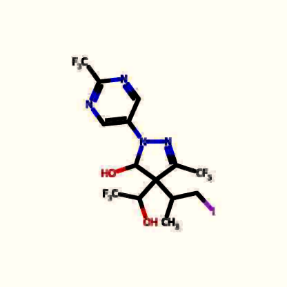 CC(CI)C1(C(O)C(F)(F)F)C(C(F)(F)F)=NN(c2cnc(C(F)(F)F)nc2)C1O